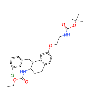 CCOC(=O)NC1CCc2ccc(OCCNC(=O)OC(C)(C)C)cc2C1Cc1cccc(Cl)c1